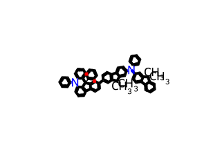 CC1(C)c2ccccc2-c2ccc(N(c3ccccc3)c3ccc4c(c3)C(C)(C)c3cc(-c5ccc6c(c5)[C@@]5(c7ccccc7)c7ccccc7N(c7ccccc7)c7cccc-6c75)ccc3-4)cc21